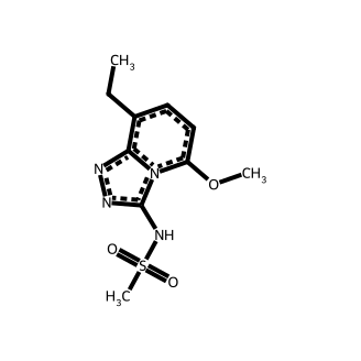 CCc1ccc(OC)n2c(NS(C)(=O)=O)nnc12